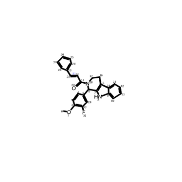 COc1ccc(C2c3[nH]c4ccccc4c3CCN2C(=O)/C=C/c2ccccc2)cc1F